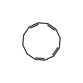 [C]1=CC=CCC=CC=CCCC1